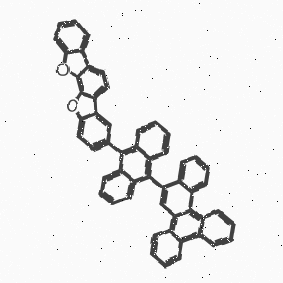 c1ccc2c(c1)oc1c2ccc2c3cc(-c4c5ccccc5c(-c5cc6c7ccccc7c7ccccc7c6c6ccccc56)c5ccccc45)ccc3oc21